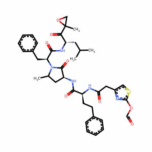 CC(C)C[C@H](NC(=O)[C@H](Cc1ccccc1)N1C(=O)[C@@H](NC(=O)[C@H](CCc2ccccc2)NC(=O)Cc2csc(OC=O)n2)CC1C)C(=O)C1(C)CO1